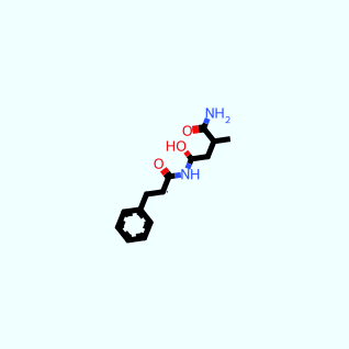 CC(CC(O)NC(=O)[CH]Cc1ccccc1)C(N)=O